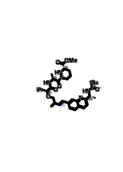 COC(=O)[C@@H]1CCCN(C(=O)[C@H](C)NC(=O)[C@@H](OCC(C)/C=C/c2ccc3ccc([C@@H](C)N[S+]([O-])C(C)(C)C)nc3c2)C(C)C)N1